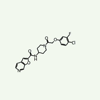 O=C(NC1CCN(C(=O)COc2ccc(Cl)c(F)c2)CC1)c1cc2ccncc2o1